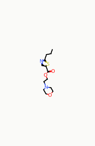 CCCc1ncc(C(=O)OCCN2CCOCC2)s1